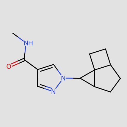 CNC(=O)c1cnn(C2C3CCC4CCC432)c1